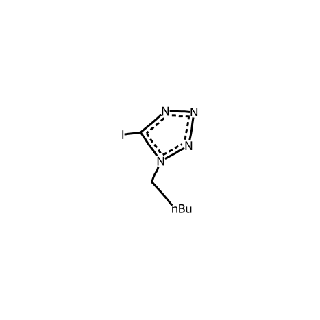 CCCCCn1nnnc1I